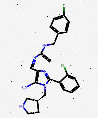 C=C(/N=C\c1nc(-c2ccccc2Cl)n(C[C@H]2CCNC2)c1N)NCc1ccc(F)cc1